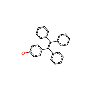 [O]c1ccc(C(=C(c2ccccc2)c2ccccc2)c2ccccc2)cc1